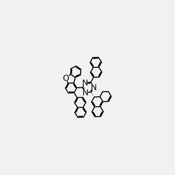 C1=CC2=c3ccccc3=C[C@H](c3nc(-c4ccc5ccccc5c4)nc(-c4c(-c5ccc6ccccc6c5)ccc5oc6ccccc6c45)n3)C2CC1